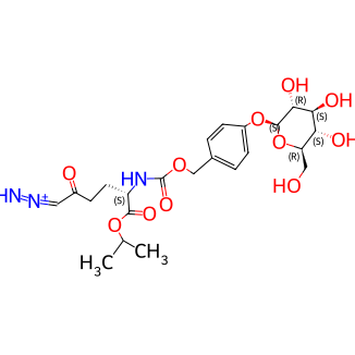 CC(C)OC(=O)[C@H](CCC(=O)C=[N+]=N)NC(=O)OCc1ccc(O[C@@H]2O[C@H](CO)[C@@H](O)[C@H](O)[C@H]2O)cc1